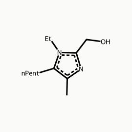 CCCCCc1c(C)nc(CO)n1CC